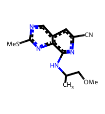 COCC(C)Nc1nc(C#N)cc2cnc(SC)nc12